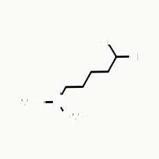 CO[SiH](CCCCC(Cl)Cl)OC